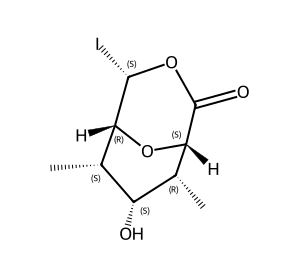 C[C@@H]1[C@H](O)[C@H](C)[C@H]2O[C@@H]1C(=O)O[C@H]2I